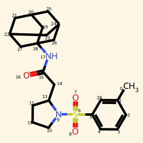 Cc1cccc(S(=O)(=O)N2CCCC2CC(=O)NC23CC4CC(CC(C4)C2)C3)c1